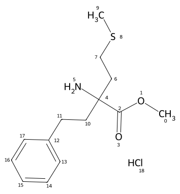 COC(=O)C(N)(CCSC)CCc1ccccc1.Cl